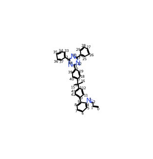 C=C/C=N\c1ccccc1-c1ccc(C(C)(C)c2ccc(-c3nc(-c4ccccc4)nc(-c4ccccc4)n3)cc2)cc1